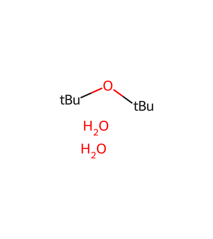 CC(C)(C)OC(C)(C)C.O.O